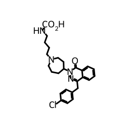 O=C(O)NCCCCN1CCCC(n2nc(Cc3ccc(Cl)cc3)c3ccccc3c2=O)CC1